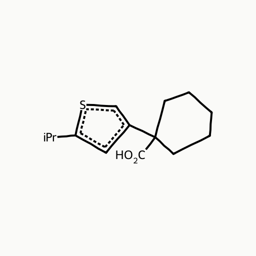 CC(C)c1cc(C2(C(=O)O)CCCCC2)cs1